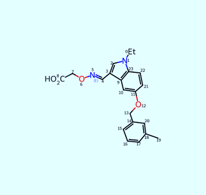 CCn1cc(/C=N/OCC(=O)O)c2cc(OCc3cccc(C)c3)ccc21